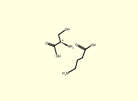 NCCCC(=O)O.N[C@H](CO)C(=O)O